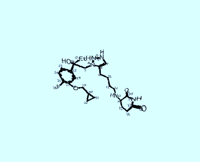 CC[C@@](O)(CN1NNC=C1CCCCNC1CCC(=O)NC1=O)c1ccc(F)c(OCC2CC2)c1